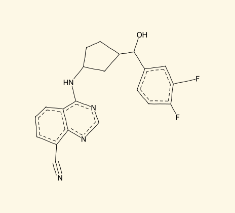 N#Cc1cccc2c(NC3CCC(C(O)c4ccc(F)c(F)c4)C3)ncnc12